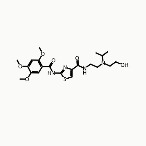 COc1cc(OC)c(C(=O)Nc2nc(C(=O)NCCN(CCO)C(C)C)cs2)cc1OC